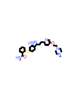 CNC(=O)c1ccccc1Sc1ccc2c(/C=C/c3ccc(OCCN4CCN(C)CC4)cn3)n[nH]c2c1